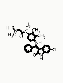 Cc1c(NC(=C2C(=O)Nc3cc(Cl)ccc32)c2ccccc2)ccc(N(C)C(=O)CN(C)C)c1C